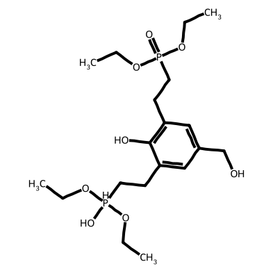 CCOP(=O)(CCc1cc(CO)cc(CC[PH](O)(OCC)OCC)c1O)OCC